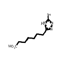 O=C(O)CCCCCCc1nnc(S)[nH]1